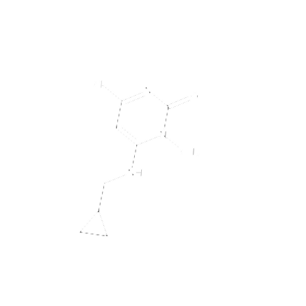 Cn1c(NCC2CC2)cc(Cl)nc1=O